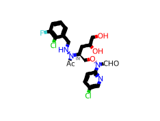 CC(=O)N(NCc1cccc(F)c1Cl)[C@H](CON(C=O)c1ccc(Cl)cn1)CC(O)CO